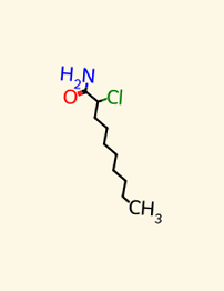 CCCCCCCCC(Cl)C(N)=O